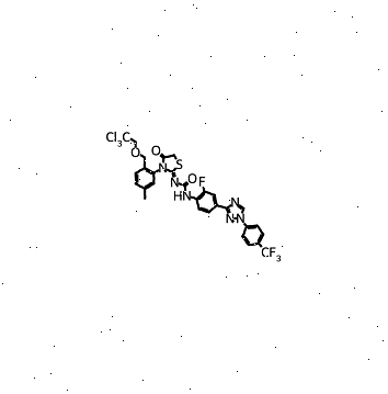 Cc1ccc(COCC(Cl)(Cl)Cl)c(N2C(=O)CSC2=NC(=O)Nc2ccc(-c3ncn(-c4ccc(C(F)(F)F)cc4)n3)cc2F)c1